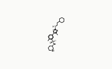 Cc1ccc(-c2sc(NCCC3CCCCC3)nc2C)cc1S(=O)(=O)NC1CCCNC1